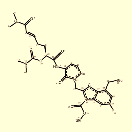 CN(C)C(=O)/C=C/CC[C@H](OC(=O)N(C)C)C(=O)Nc1ccnn(Cc2nc3c(CC(C)(C)C)cc(F)cc3n2C(=O)OC(C)(C)C)c1=O